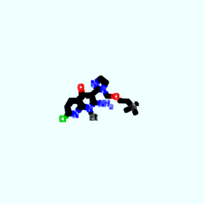 CCn1c(N)c(-c2nccn2COCC[Si](C)(C)C)c(=O)c2ccc(Cl)nc21